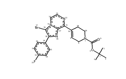 CC(C)(C)OC(=O)N1CC=C(c2nccn3c(Br)c(-c4ccc(F)cc4)nc23)CC1